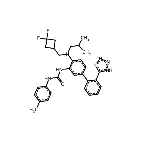 Cc1ccc(NC(=O)Nc2cc(-c3ccccc3-c3nnn[nH]3)ccc2N(CC(C)C)CC2CC(F)(F)C2)cc1